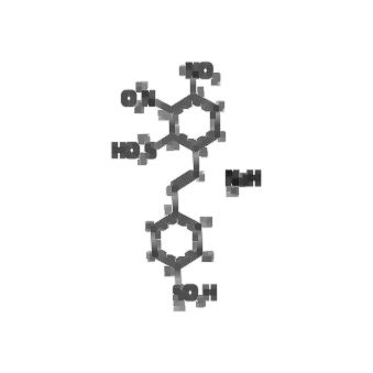 O=[N+]([O-])c1ccc(C=Cc2ccc(S(=O)(=O)O)cc2)c(S(=O)(=O)O)c1[N+](=O)[O-].[NaH]